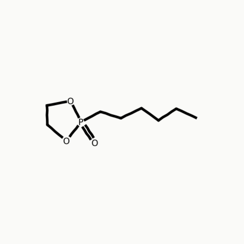 CCCCCCP1(=O)OCCO1